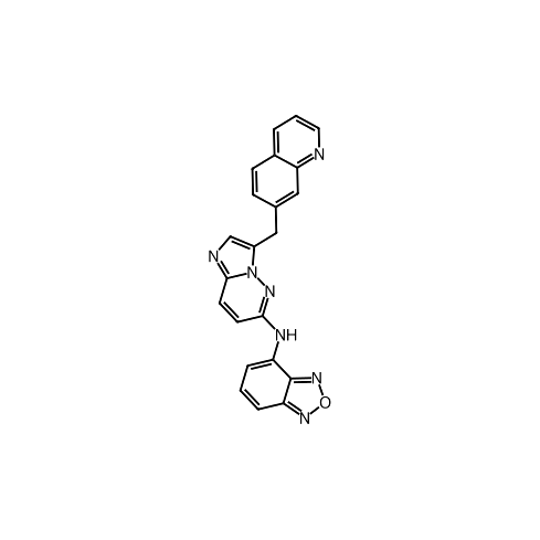 c1cnc2cc(Cc3cnc4ccc(Nc5cccc6nonc56)nn34)ccc2c1